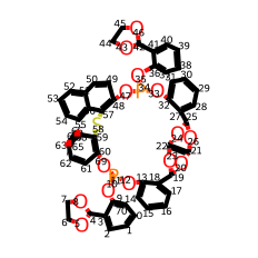 c1ccc(C2OCCO2)c(OP2Oc3ccccc3C3OC4=C(O3)OC(O4)c3ccccc3OP(Oc3ccccc3C3OCCO3)Oc3ccc4ccccc4c3Sc3c(ccc4ccccc34)O2)c1